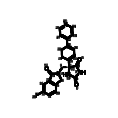 O=C1NC(=O)[C@](CN2Cc3ccc(F)cc3C2=O)(C2=CC=C(c3ccncc3)CC2)N1